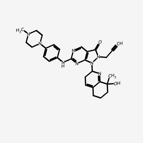 C#CCn1c(=O)c2cnc(Nc3ccc(N4CCN(C)CC4)cc3)nc2n1C1CC=C2CCCC(C)(O)C2=N1